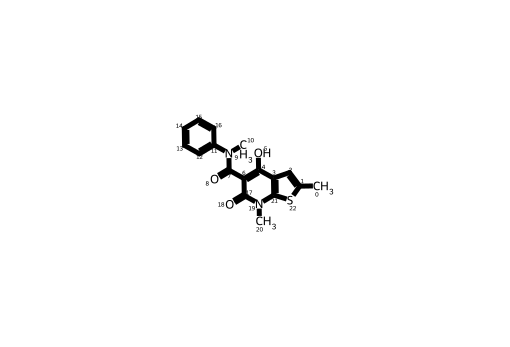 Cc1cc2c(O)c(C(=O)N(C)c3ccccc3)c(=O)n(C)c2s1